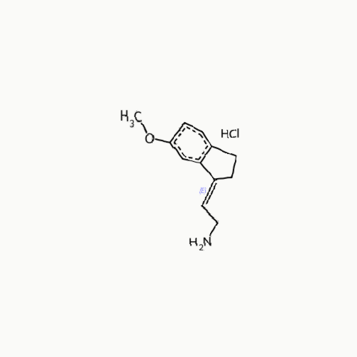 COc1ccc2c(c1)/C(=C/CN)CC2.Cl